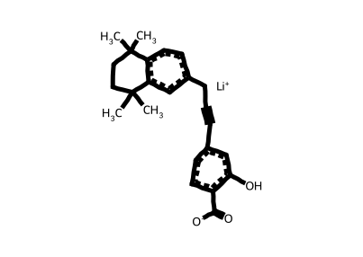 CC1(C)CCC(C)(C)c2cc(CC#Cc3ccc(C(=O)[O-])c(O)c3)ccc21.[Li+]